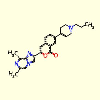 CCCN1CC=C(c2ccc3cc(-c4cn5cc(C)nc(C)c5n4)oc(=O)c3c2)CC1